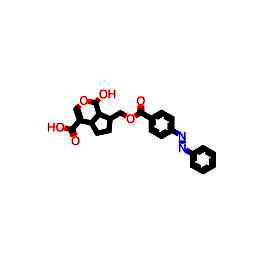 O=C(O)C1=COC(O)C2C(COC(=O)c3ccc(N=Nc4ccccc4)cc3)CCC12